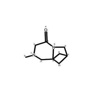 CN1CC(=O)N2CC3CC2(C3)C1